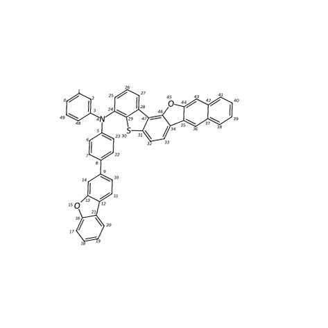 c1ccc(N(c2ccc(-c3ccc4c(c3)oc3ccccc34)cc2)c2cccc3c2sc2ccc4c5cc6ccccc6cc5oc4c23)cc1